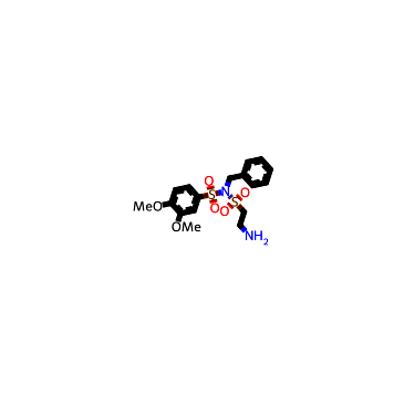 COc1ccc(S(=O)(=O)N(Cc2ccccc2)S(=O)(=O)CCN)cc1OC